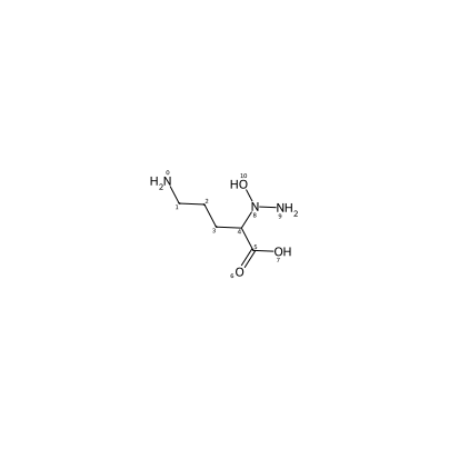 NCCCC(C(=O)O)N(N)O